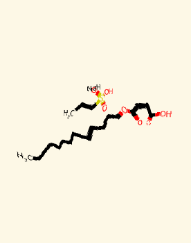 CCCCCCCCCCCCOC(=O)/C=C\C(=O)O.CCCS(=O)(=O)O.[NaH]